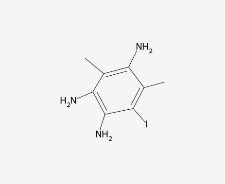 Cc1c(N)c(C)c(I)c(N)c1N